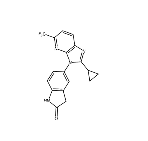 O=C1Cc2cc(-n3c(C4CC4)nc4ccc(C(F)(F)F)nc43)ccc2N1